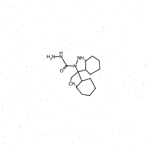 CCC(C1CCCCC1)(C1CCCCC1)N(N)C(=O)NN